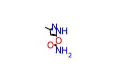 Cc1cc(OC(N)=O)[nH]n1